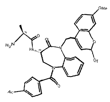 COc1ccc2c(c1)OC(O)C=C2CN1C(=O)[C@@H](NC(=O)[C@H](C)N)CN(C(=O)c2ccc(C(C)=O)cc2)c2ccccc21